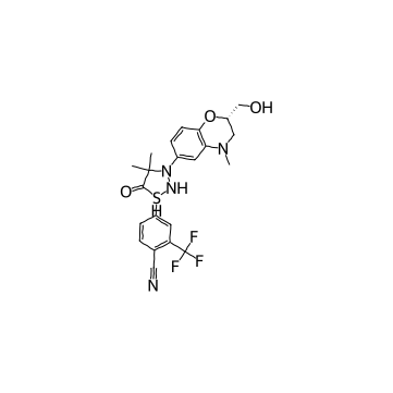 CN1C[C@@H](CO)Oc2ccc(N3N[SH](c4ccc(C#N)c(C(F)(F)F)c4)C(=O)C3(C)C)cc21